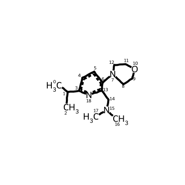 CC(C)c1ccc(N2CCOCC2)c(CN(C)C)n1